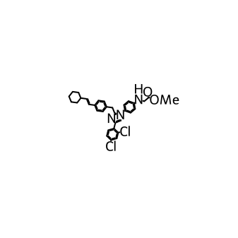 COC(=O)CNc1ccc(-n2cc(-c3ccc(Cl)cc3Cl)nc2Cc2ccc(/C=C/C3CCCCC3)cc2)cc1